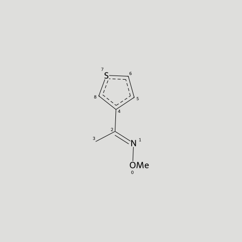 CON=C(C)c1ccsc1